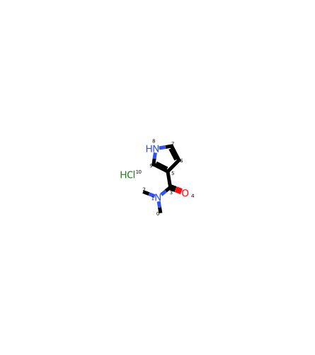 CN(C)C(=O)c1cc[nH]c1.Cl